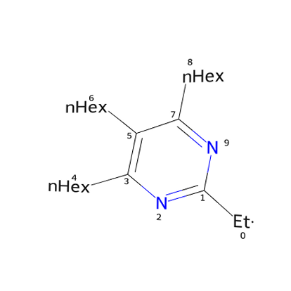 C[CH]c1nc(CCCCCC)c(CCCCCC)c(CCCCCC)n1